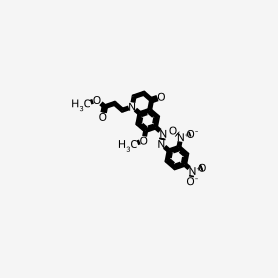 COC(=O)CCN1CCC(=O)c2cc(/N=N/c3ccc([N+](=O)[O-])cc3[N+](=O)[O-])c(OC)cc21